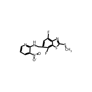 CSc1nc2c(F)cc(CNc3ncccc3[N+](=O)[O-])c(F)c2s1